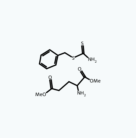 COC(=O)CCC(N)C(=O)OC.NC(=S)SCc1ccccc1